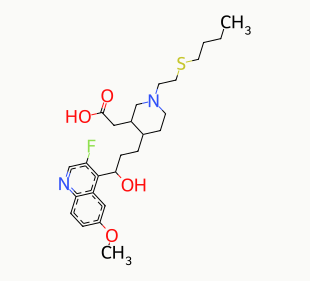 CCCCSCCN1CCC(CCC(O)c2c(F)cnc3ccc(OC)cc23)C(CC(=O)O)C1